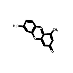 Cc1ccc2nc3c(C)cc(=O)cc-3sc2c1